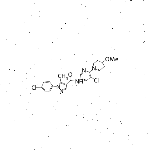 COC1CCN(c2ncc(NC(=O)c3cnn(-c4ccc(Cl)cc4)c3C)cc2Cl)CC1